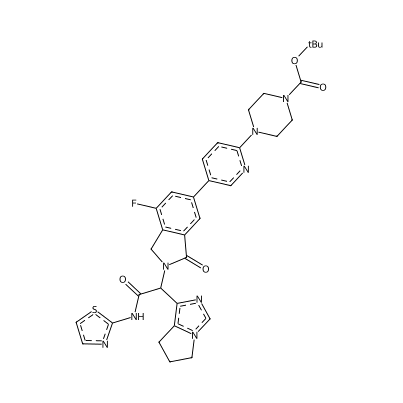 CC(C)(C)OC(=O)N1CCN(c2ccc(-c3cc(F)c4c(c3)C(=O)N(C(C(=O)Nc3nccs3)c3ncn5c3CCC5)C4)cn2)CC1